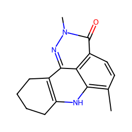 Cc1ccc2c(=O)n(C)nc3c2c1NC1=C3CCCC1